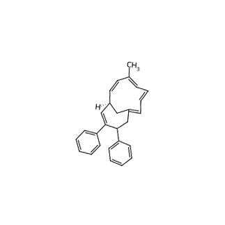 CC1=C\C=C\C=C2/CC(c3ccccc3)C(c3ccccc3)=C[C@@H](/C=C\1)C2